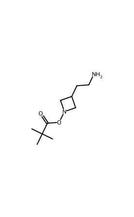 CC(C)(C)C(=O)ON1CC(CCN)C1